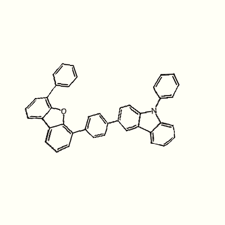 c1ccc(-c2cccc3c2oc2c(-c4ccc(-c5ccc6c(c5)c5ccccc5n6-c5ccccc5)cc4)cccc23)cc1